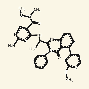 COc1cc(-c2cccc3nc(C(C)Nc4nc(N)ncc4C(=O)N(C)OC)n(-c4ccccc4)c(=O)c23)ccn1